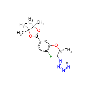 C[C@@H](Cn1cnnn1)Oc1cc(B2OC(C)(C)C(C)(C)O2)ccc1F